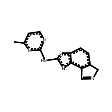 Cc1ccnc(Nc2nc3c4c(ccc3s2)CN=C4)n1